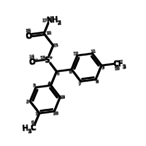 Cc1ccc(C(c2ccc(C(F)(F)F)cc2)[S+]([O-])CC(N)=O)cc1